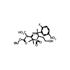 CC(C)(C)OC(=O)N(C(=O)O)C1=N[C@](C)(c2cc([N+](=O)[O-])ccc2F)C(CCO)S(=O)(=O)C1(C)C